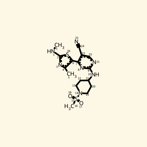 CNc1nc(C)c(-c2nc(NC3CCN(S(C)(=O)=O)CC3)ncc2C#N)s1